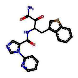 NC(=O)C(=O)C(Cc1csc2ccccc12)NC(=O)c1cncn1-c1ccccn1